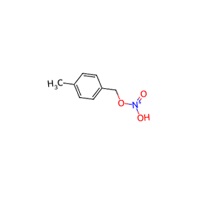 Cc1ccc(CO[N+](=O)O)cc1